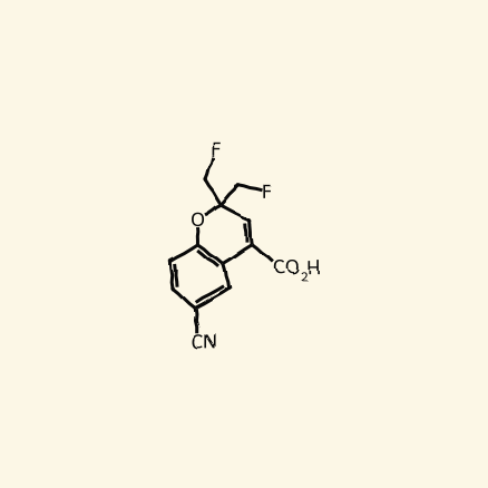 N#Cc1ccc2c(c1)C(C(=O)O)=CC(CF)(CF)O2